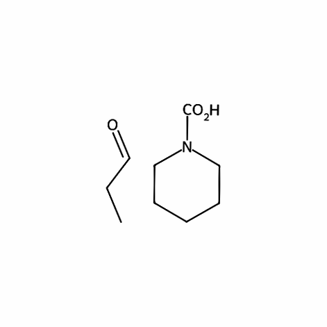 CCC=O.O=C(O)N1CCCCC1